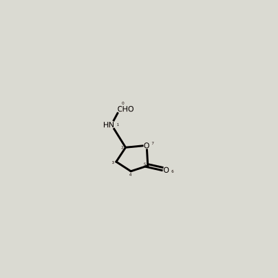 O=CNC1CCC(=O)O1